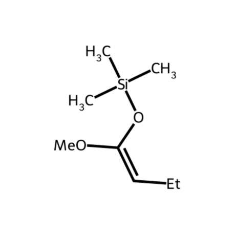 CCC=C(OC)O[Si](C)(C)C